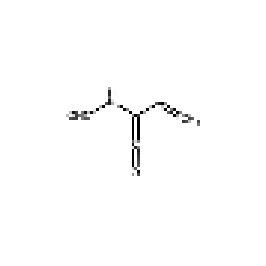 C=CC(=C=O)N[C]=O